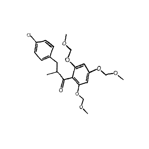 COCOc1cc(OCOC)c(C(=O)C(C)Cc2ccc(Cl)cc2)c(OCOC)c1